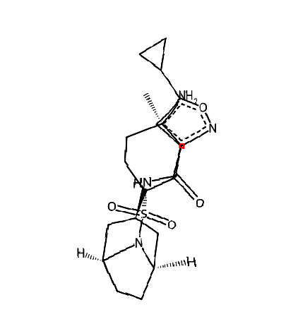 C[C@]1(N)CC[C@H](S(=O)(=O)N2[C@@H]3CC[C@H]2C[C@@H](NC(=O)c2cc(C4CC4)on2)C3)CC1